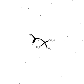 C[CH]C(=O)OC(C)(C)C(=O)O